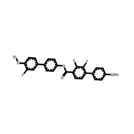 CCOc1ccc(-c2ccc(OC(=O)c3ccc(-c4ccc(OC)cc4)c(F)c3F)cc2)cc1F